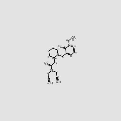 C#CCN(CC#C)C(=O)C[C@H]1CCCCN1Cc1cccn(CC(F)(F)F)c1=O